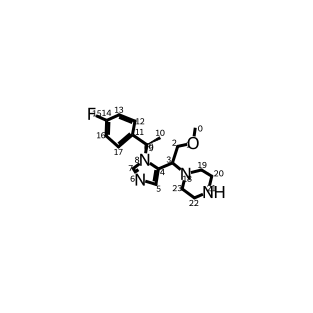 COCC(c1cncn1[C@H](C)c1ccc(F)cc1)N1CCNCC1